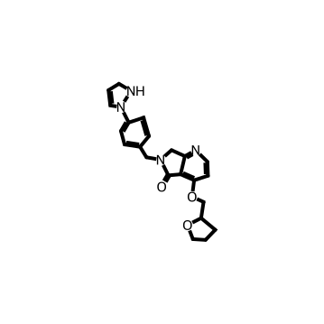 O=C1c2c(OCC3CCCO3)ccnc2CN1Cc1ccc(N2C=CCN2)cc1